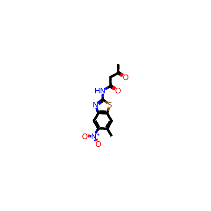 CC(=O)CC(=O)Nc1nc2cc([N+](=O)[O-])c(C)cc2s1